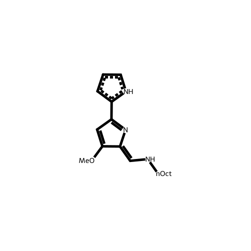 CCCCCCCCN/C=C1\N=C(c2ccc[nH]2)C=C1OC